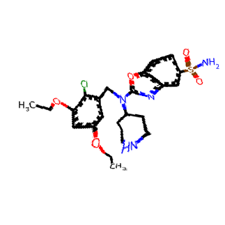 CCOc1cc(CN(c2nc3cc(S(N)(=O)=O)ccc3o2)C2CCNCC2)c(Cl)c(OCC)c1